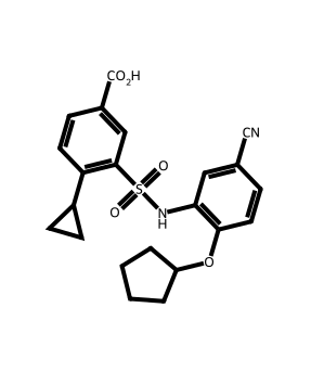 N#Cc1ccc(OC2CCCC2)c(NS(=O)(=O)c2cc(C(=O)O)ccc2C2CC2)c1